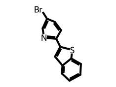 Brc1ccc(-c2cc3ccccc3s2)nc1